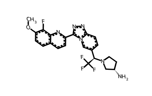 COc1ccc2ccc(-c3nnc4ccc([C@@H](N5CC[C@H](N)C5)C(F)(F)F)cn34)nc2c1F